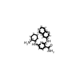 NC(=O)c1ccc(N[C@@H]2CCCC[C@@H]2N)nc1Nc1cnc2ccncc2c1